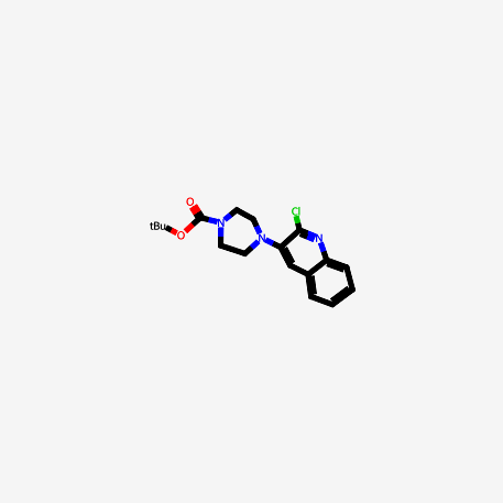 CC(C)(C)OC(=O)N1CCN(c2cc3ccccc3nc2Cl)CC1